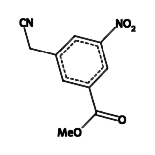 COC(=O)c1cc(CC#N)cc([N+](=O)[O-])c1